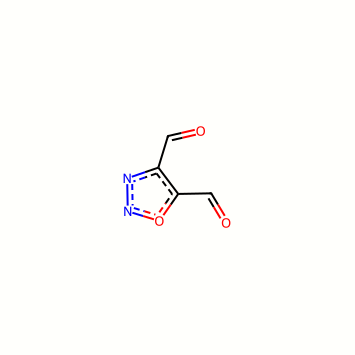 O=Cc1nnoc1C=O